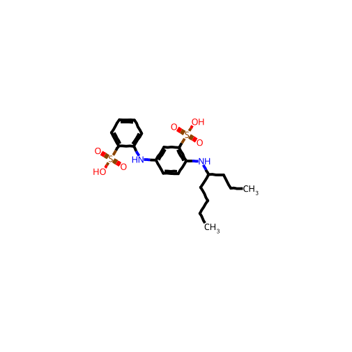 CCCCC(CCC)Nc1ccc(Nc2ccccc2S(=O)(=O)O)cc1S(=O)(=O)O